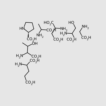 CC(N)C(=O)O.CC(O)C(N)C(=O)O.NC(CC(=O)O)C(=O)O.NC(CCC(=O)O)C(=O)O.NC(CO)C(=O)O.NCC(=O)O.O=C(O)[C@@H]1CCCN1